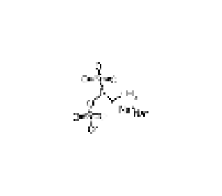 CCN(OS(=O)(=O)[O-])S(=O)(=O)[O-].[Na+].[Na+]